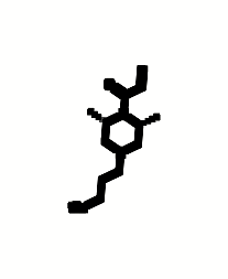 C=CC(=O)N1[C@H](C)CN(CCCC(C)(C)C)C[C@@H]1C